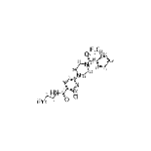 CC(C)CCNC(=O)c1ccc(N2CCN(C(=O)c3ccccc3C(F)(F)F)CC2)nc1Cl